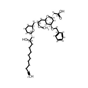 C#CCCCCCCCC[C@@H](O)C[C@@H]1CCCC(C[C@H](CC2C[C@H](OCc3ccccc3)C[C@@H](CC(=O)O)O2)OC)O1